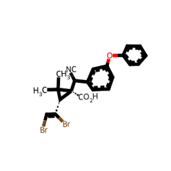 CC1(C)[C@@H](C(Br)=CBr)[C@]1(C(=O)O)C(C#N)c1cccc(Oc2ccccc2)c1